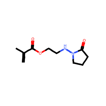 C=C(C)C(=O)OCCNN1CCCC1=O